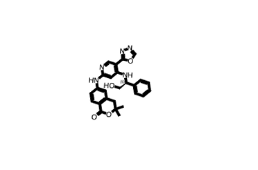 CC1(C)Cc2cc(Nc3cc(N[C@H](CO)c4ccccc4)c(-c4nnco4)cn3)ccc2C(=O)O1